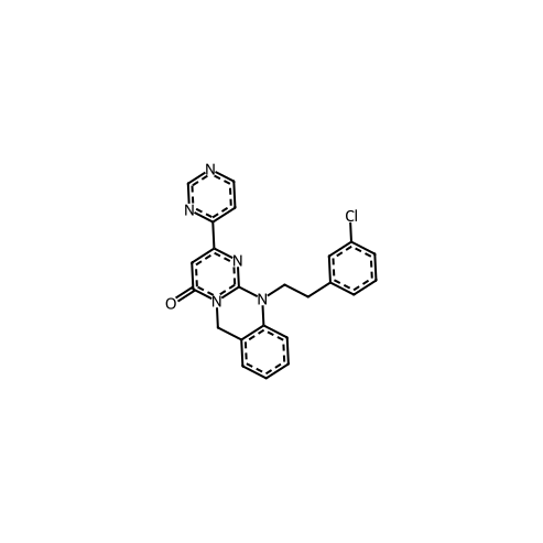 O=c1cc(-c2ccncn2)nc2n1Cc1ccccc1N2CCc1cccc(Cl)c1